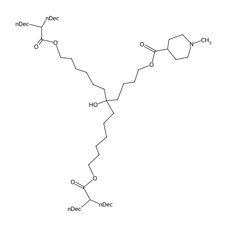 CCCCCCCCCCC(CCCCCCCCCC)C(=O)OCCCCCCC(O)(CCCCCCOC(=O)C(CCCCCCCCCC)CCCCCCCCCC)CCCCOC(=O)C1CCN(C)CC1